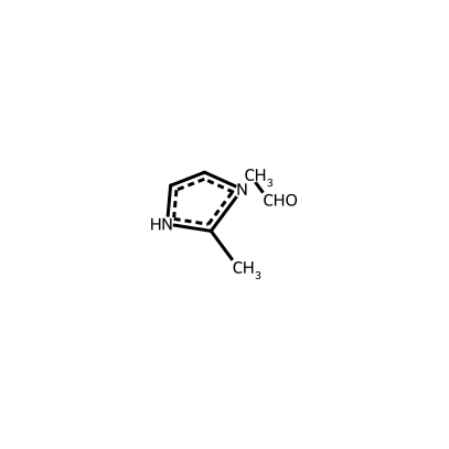 CC=O.Cc1ncc[nH]1